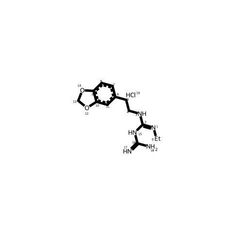 CCN=C(NCCc1ccc2c(c1)OCO2)NC(=N)N.Cl